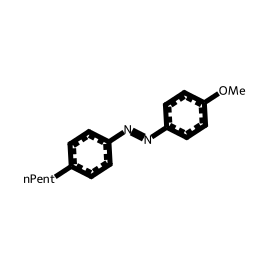 CCCCCc1ccc(N=Nc2ccc(OC)cc2)cc1